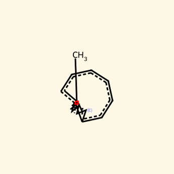 Cc1cccc/c2cccccc/c=2c1